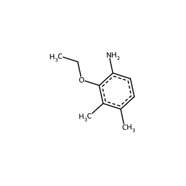 CCOc1c(N)ccc(C)c1C